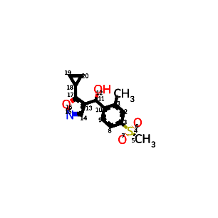 Cc1cc(S(C)(=O)=O)ccc1C(O)c1cnoc1C1CC1